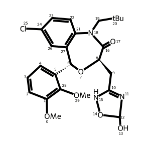 COc1cccc([C@H]2O[C@H](CC3=NC(O)ON3)C(=O)N(CC(C)(C)C)c3ccc(Cl)cc32)c1OC